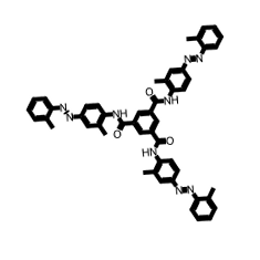 Cc1ccccc1/N=N/c1ccc(NC(=O)c2cc(C(=O)Nc3ccc(/N=N/c4ccccc4C)cc3C)cc(C(=O)Nc3ccc(/N=N/c4ccccc4C)cc3C)c2)c(C)c1